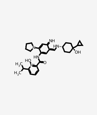 CC(C)c1cccc(C(=O)NC2=C/C(=C/N[C@H]3CC[C@@](O)(C4CC4)CC3)C(=N)C=C2N2CCCC2)[n+]1O